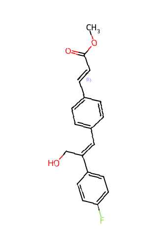 COC(=O)/C=C/c1ccc(C=C(CO)c2ccc(F)cc2)cc1